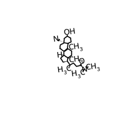 C[C@H](CCC(=O)N(C)C)[C@H]1CC[C@H]2C3=C(CC[C@]12C)[C@@]1(C)CCC(O)C[C@]1(C#N)CC3